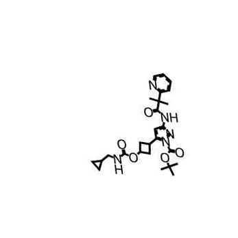 CC(C)(C)OC(=O)n1nc(NC(=O)C(C)(C)c2ccccn2)cc1C1CC(OC(=O)NCC2CC2)C1